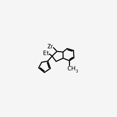 CCC1(C2=CC=CC2)CC2C(C)=CC=CC2[CH]1[Zr]